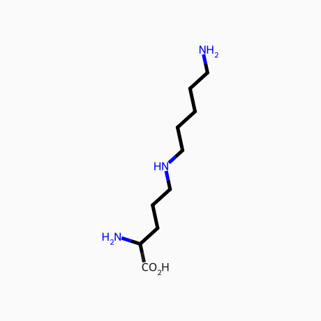 NCCCCCNCCCC(N)C(=O)O